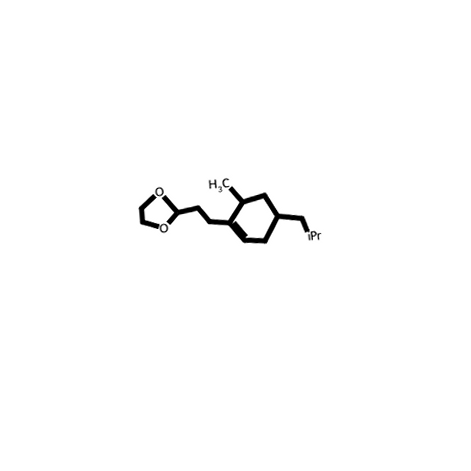 CC(C)CC1CC=C(CCC2OCCO2)C(C)C1